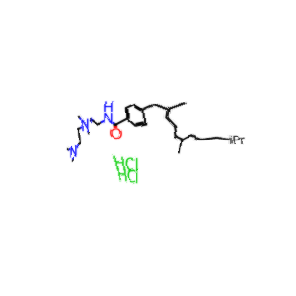 CC(C)CCCC(C)CCCC(C)Cc1ccc(C(=O)NCC[N+](C)(C)CCN(C)C)cc1.Cl.Cl